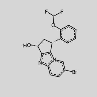 O[C@@H]1C[C@H](c2ccccc2OC(F)F)c2c1nc1ccc(Br)cn21